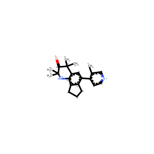 Cc1cnccc1-c1cc2c(c3c1CCC3)NC(C)(C)C(=O)C2(C)C